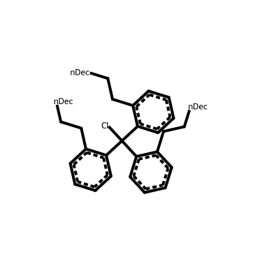 CCCCCCCCCCCCc1ccccc1C(Cl)(c1ccccc1CCCCCCCCCCCC)c1ccccc1CCCCCCCCCCCC